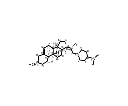 C[C@H](CN1CCC(N(C)C)CC1)[C@H]1CC[C@H]2[C@@H]3CC=C4C[C@@H](O)CC[C@]4(C)[C@H]3CC[C@]12C